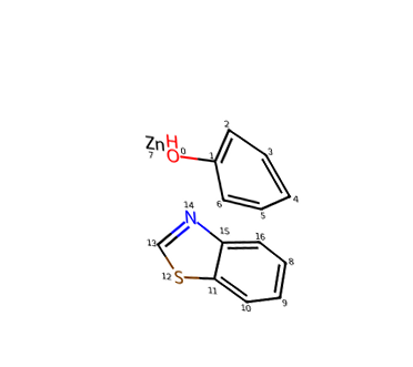 Oc1ccccc1.[Zn].c1ccc2scnc2c1